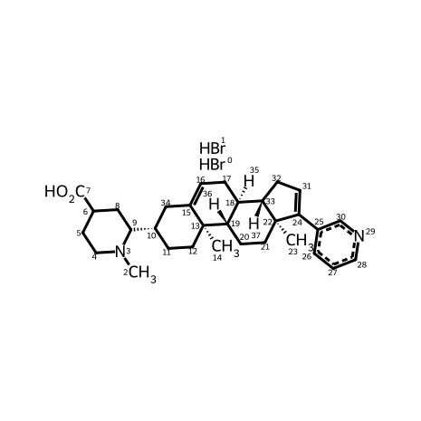 Br.Br.CN1CCC(C(=O)O)CC1[C@H]1CC[C@@]2(C)C(=CC[C@@H]3[C@@H]2CC[C@]2(C)C(c4cccnc4)=CC[C@@H]32)C1